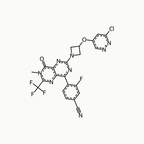 Cn1c(C(F)(F)F)nc2c(-c3ccc(C#N)cc3F)nc(N3CC(Oc4cnnc(Cl)c4)C3)nc2c1=O